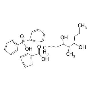 CCCC(O)C(C)C(O)CCC.O=C(O)c1ccccc1.O=P(O)(c1ccccc1)c1ccccc1